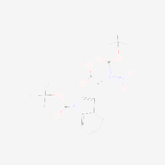 COC(=O)[C@@H](Cc1cn(C(=O)OC(C)(C)C)c2ccccc12)N(C(=O)OC(C)(C)C)[N+](=O)[O-]